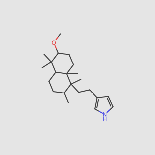 COC1CCC2(C)C(CCC(C)C2(C)CCc2cc[nH]c2)C1(C)C